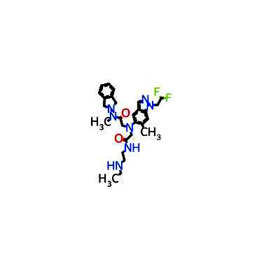 CCNCCNC(=O)CN(CC(=O)N(C)N1Cc2ccccc2C1)c1cc2cnn(CC(F)F)c2cc1C